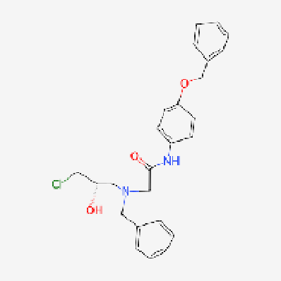 O=C(CN(Cc1ccccc1)C[C@H](O)CCl)Nc1ccc(OCc2ccccc2)cc1